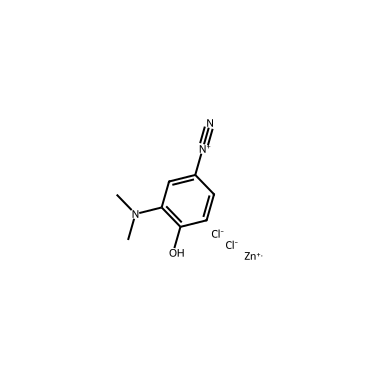 CN(C)c1cc([N+]#N)ccc1O.[Cl-].[Cl-].[Zn+]